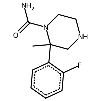 CC1(c2ccccc2F)CNCCN1C(N)=O